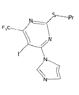 CC(C)Sc1nc(-n2ccnc2)c(I)c(C(F)(F)F)n1